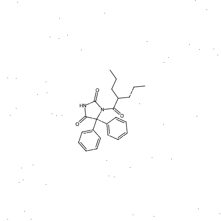 CCCC(CCC)C(=O)N1C(=O)NC(=O)C1(c1ccccc1)c1ccccc1